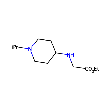 CCOC(=O)CNC1CCN(C(C)C)CC1